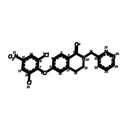 O=C1c2ccc(Oc3c(Cl)cc([N+](=O)[O-])cc3Cl)cc2CCN1Cc1cccnn1